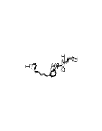 O=C(NCCCl)Nc1cccc(CCCCCO)c1